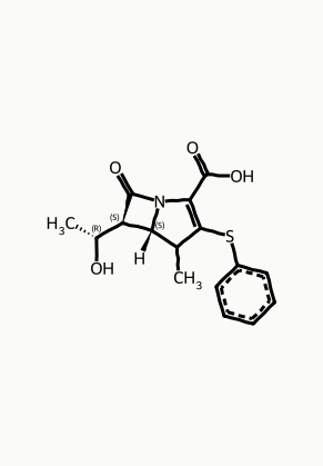 CC1C(Sc2ccccc2)=C(C(=O)O)N2C(=O)[C@H]([C@@H](C)O)[C@@H]12